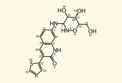 O=c1[nH]c2cc(NC3NOC(CO)[C@H](O)C3O)ccc2cc1-c1cccs1